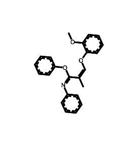 COc1ccccc1OC=C(C)C(=Nc1ccccc1)Oc1ccccc1